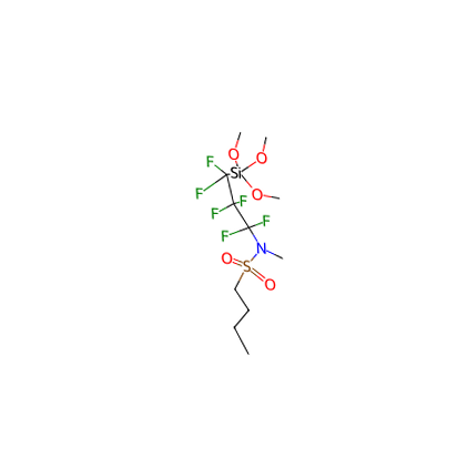 CCCCS(=O)(=O)N(C)C(F)(F)C(F)(F)C(F)(F)[Si](OC)(OC)OC